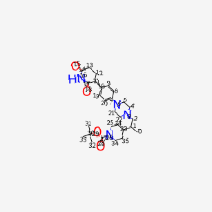 CC(CN1CCN(c2ccc(C3CCC(=O)NC3=O)cc2)CC1)C1CCN(C(=O)OC(C)(C)C)CC1